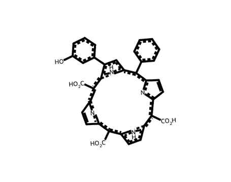 O=C(O)c1c2nc(c(-c3ccccc3)c3cc(-c4cccc(O)c4)c([nH]3)c(C(=O)O)c3nc(c(C(=O)O)c4ccc1[nH]4)C=C3)C=C2